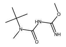 COC(=N)NC(=O)N(C)C(C)(C)C